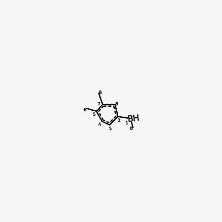 CBc1ccc(C)c(C)c1